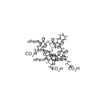 CCCCCN(C(=O)CCCCCN(C(=O)CCCC(=O)N(CCCCC)C(CCCC(=O)O)C(=O)NC(C)(C)C)C(Cc1ccccc1)C(=O)NCCC(=O)N(CCCCCC(=O)O)C(CCC)C(=O)NC(C)(C)C)C(CCCC(=O)O)C(=O)NC(C)(C)C